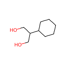 OCC(CO)C1CCCCC1